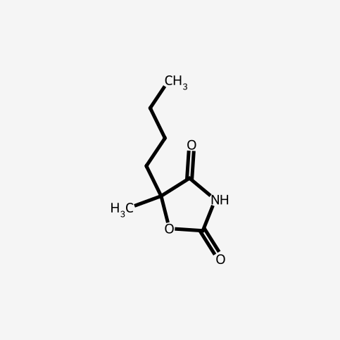 CCCCC1(C)OC(=O)NC1=O